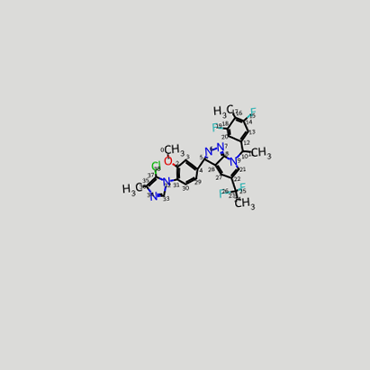 COc1cc(-c2nnc3n(C(C)c4cc(F)c(C)c(F)c4)cc(C(C)(F)F)cc2-3)ccc1-n1cnc(C)c1Cl